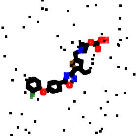 CCc1cc(CN2CC(OC(=O)O)C2)sc1-c1noc(-c2ccc(Oc3ccccc3F)cc2)n1